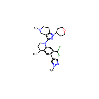 CC(=O)N1CCc2c(c(N3CCC(C)c4cc(-c5cnn(C)c5)c(C(F)F)cc43)nn2C2CCOCC2)C1